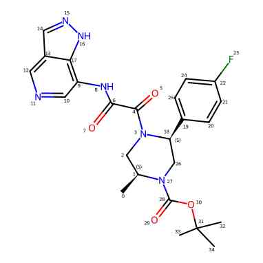 C[C@H]1CN(C(=O)C(=O)Nc2cncc3cn[nH]c23)[C@@H](c2ccc(F)cc2)CN1C(=O)OC(C)(C)C